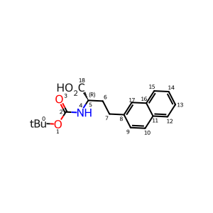 CC(C)(C)OC(=O)N[C@H](CCc1ccc2ccccc2c1)C(=O)O